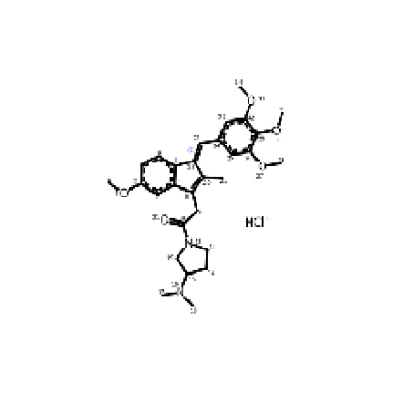 COc1ccc2c(c1)C(CC(=O)N1CCC(N(C)C)C1)=C(C)/C2=C\c1cc(OC)c(OC)c(OC)c1.Cl